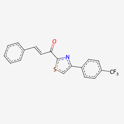 O=C(C=Cc1ccccc1)c1nc(-c2ccc(C(F)(F)F)cc2)cs1